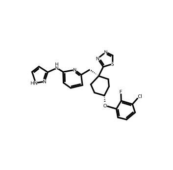 Fc1c(Cl)cccc1O[C@H]1CC[C@](Cc2cccc(Nc3cc[nH]n3)n2)(c2nncs2)CC1